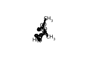 CCCCCOC(=O)CC(Cc1ccccc1)NC(=O)c1cc(CCC)n(Cc2ccc(-c3ccccc3-c3nnn[nH]3)nc2)n1